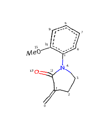 C=C1CCN(c2ccccc2OC)C1=O